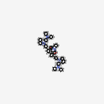 c1ccc(N(c2ccccc2)c2ccc(N(c3ccc(-c4ccc5c(c4)C4(c6cc(-c7ccc(N(c8ccc(N(c9ccccc9)c9ccccc9)cc8)c8cccc9ccccc89)cc7)ccc6-5)c5ccccc5-n5c6ccccc6c6cccc4c65)cc3)c3cccc4ccccc34)cc2)cc1